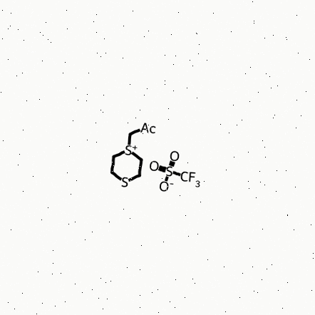 CC(=O)C[S+]1CCSCC1.O=S(=O)([O-])C(F)(F)F